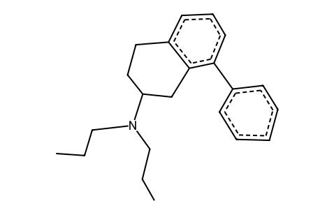 CCCN(CCC)C1CCc2cccc(-c3ccccc3)c2C1